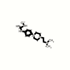 CN(C)CCN1CCN(c2ccc(NC(=N)NCl)cc2)CC1